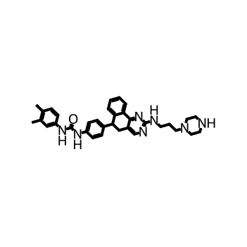 Cc1ccc(NC(=O)Nc2ccc(C3Cc4cnc(NCCCN5CCNCC5)nc4-c4ccccc43)cc2)cc1C